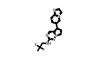 CC(F)(F)CNc1ncc2c(-c3ccc4nccn4c3)ccn2n1